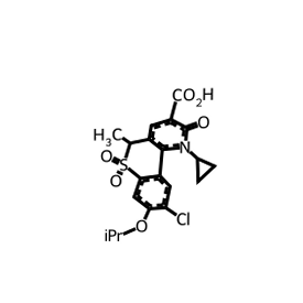 CC(C)Oc1cc2c(cc1Cl)-c1c(cc(C(=O)O)c(=O)n1C1CC1)C(C)S2(=O)=O